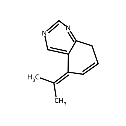 CC(C)=C1C=CCc2ncncc21